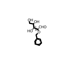 O=C[C@H](OCc1ccccc1)[C@@H](O)C(O)CO